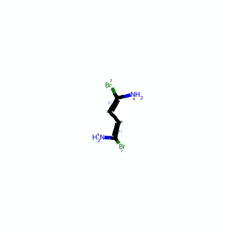 N/C(Br)=C\C=C(/N)Br